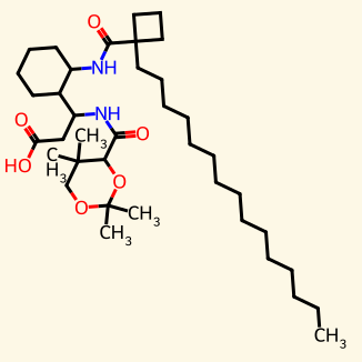 CCCCCCCCCCCCCCCC1(C(=O)NC2CCCCC2C(CC(=O)O)NC(=O)C2OC(C)(C)OCC2(C)C)CCC1